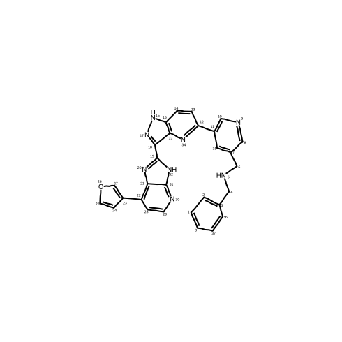 c1ccc(CNCc2cncc(-c3ccc4[nH]nc(-c5nc6c(-c7ccoc7)ccnc6[nH]5)c4n3)c2)cc1